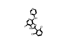 Fc1cnc(Nc2ccncn2)c2nc(-c3c(Cl)cccc3Cl)[nH]c12